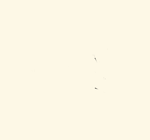 CCC(=O)CN([C@H]1CCN([C@](C)(C(=O)O)C(C)(C)C)C1=O)S(=O)(=O)c1cc2ccc(Cl)cc2s1